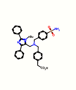 CCCCn1c(-c2ccccc2)nc(-c2ccccc2)c1CN(Cc1ccc(CC(=O)O)cc1)Cc1ccc(S(N)(=O)=O)cc1